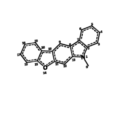 Cn1c2ccccc2c2cc3c(cc21)oc1ccccc13